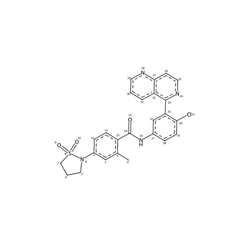 Cc1cc(N2CCCS2(=O)=O)ccc1C(=O)Nc1ccc(Cl)c(-c2nccc3ncccc23)c1